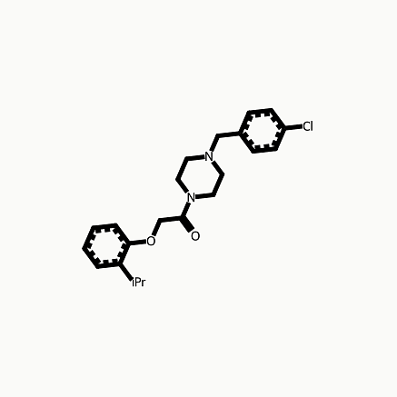 CC(C)c1ccccc1OCC(=O)N1CCN(Cc2ccc(Cl)cc2)CC1